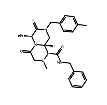 CCC[C@H]1C(=O)N(Cc2ccc(C)cc2)C[C@H]2N1C(=O)CN(C)N2C(=O)NCc1ccccc1